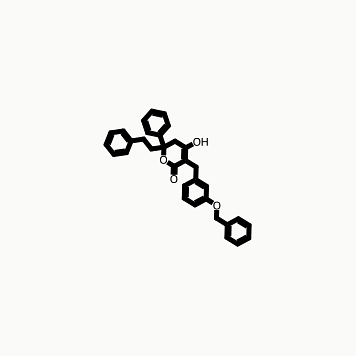 O=C1OC(CCc2ccccc2)(c2ccccc2)CC(O)=C1Cc1cccc(OCc2ccccc2)c1